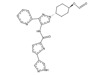 O=CO[C@H]1CC[C@H](n2cc(NC(=O)c3csc(-c4cn[nH]c4)n3)c(-c3ccccn3)n2)CC1